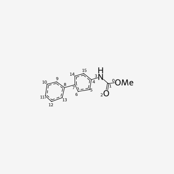 COC(=O)Nc1ccc(-c2cc[c]cc2)cc1